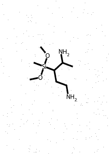 CO[Si](C)(OC)C(CCN)C(C)N